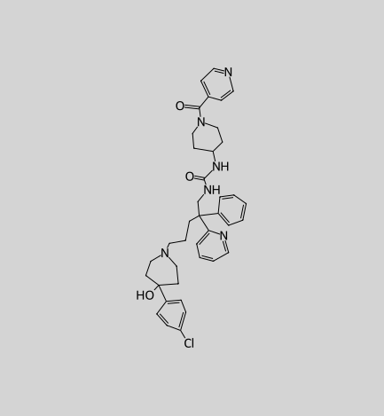 O=C(NCC(CCCN1CCC(O)(c2ccc(Cl)cc2)CC1)(c1ccccc1)c1ccccn1)NC1CCN(C(=O)c2ccncc2)CC1